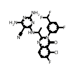 CC(Nc1nc(N)nc(N)c1C#N)c1nc2ccc(F)c(Cl)c2c(=O)n1-c1cc(F)cc(C(F)F)c1